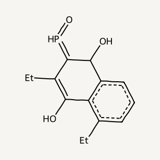 CCC1=C(O)c2c(CC)cccc2C(O)C1=[PH]=O